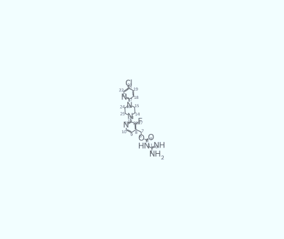 N=C(N)NC(=O)OCc1ccnc(N2CCN(c3ccc(Cl)cn3)CC2)c1F